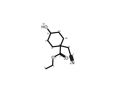 CCOC(=O)C1(CC#N)CCC(O)CC1